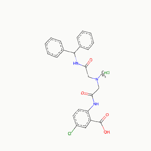 CN(CC(=O)Nc1ccc(Cl)cc1C(=O)O)CC(=O)NC(c1ccccc1)c1ccccc1.Cl